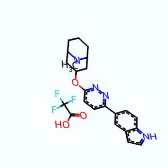 CN1C2CCCC1CC(Oc1ccc(-c3ccc4[nH]ccc4c3)nn1)C2.O=C(O)C(F)(F)F